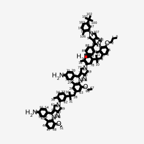 CCCOc1ccc(CC(C)(C)c2ccc(C)c(N3Cc4nn(-c5c(C)cc(CC(C)(C)c6ccc(C)c(N7Cc8nn(-c9c(C)cccc9OC)c(-c9ccc(N)cc9)c8C7)c6)cc5OCC)c(-c5ccc(N)cc5)c4C3)c2)c(C)c1-n1nc2c(c1-c1ccc(N)cc1)CN(c1cc(C(C)(C)C)ccc1C)C2